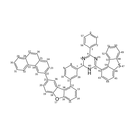 c1ccc(C2=NC(c3cccc(-c4cccc5oc6ccc(-c7ccc8ccc9ccccc9c8c7)cc6c45)c3)NC(c3cccc4sc5ccccc5c34)=N2)cc1